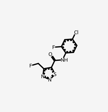 O=C(Nc1ccc(Cl)cc1F)c1snnc1CF